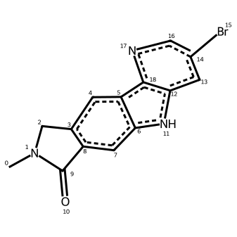 CN1Cc2cc3c(cc2C1=O)[nH]c1cc(Br)cnc13